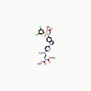 CN(CCN(C(=O)OC(C)(C)C)C(=O)OC(C)(C)C)c1ccc(-n2ccc3cc(N(CC(=O)OC(C)(C)C)S(=O)(=O)c4cc(Cl)cc(Cl)c4)ccc32)nn1